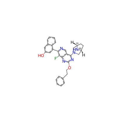 Oc1cc(-c2ncc3c(N4C[C@H]5CC[C@@H](C4)N5)nc(OCCc4ccccc4)nc3c2F)c2ccccc2c1